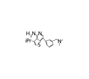 CC(C)c1csc2c(-c3cccc(CN(C)C)c3)cnc(N)c12